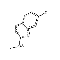 CNc1ccc2ccc(Cl)cc2n1